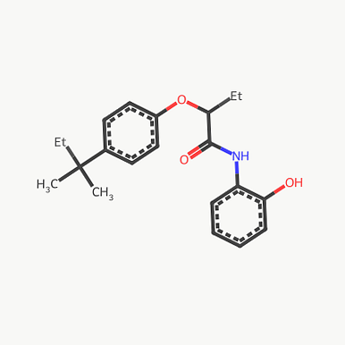 CCC(Oc1ccc(C(C)(C)CC)cc1)C(=O)Nc1ccccc1O